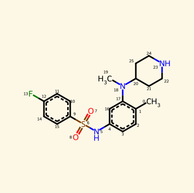 Cc1ccc(NS(=O)(=O)c2ccc(F)cc2)cc1N(C)C1CCNCC1